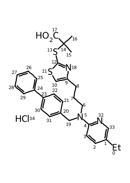 CCc1ccc(N(CCCc2csc(SC(C)(C)C(=O)O)n2)Cc2ccc(-c3ccccc3)cc2)nc1.Cl